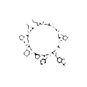 CCC[C@H]1C(=O)N[C@@H]([C@@H](C)CC)C(=O)N(C)CC(=O)N(C)CC(=O)N(C)[C@@H](CC2CCCC2)C(=O)N(C)CC(=O)N[C@@H](CCc2ccc(C(F)(F)F)c(Cl)c2)C(=O)N(C)[C@@H](Cc2cccnc2)C(=O)NC2(CCCC2)C(=O)N(C)[C@@H](C2CCCCC2)C(=O)N(C)[C@H](C(=O)N2CCCC2)CC(=O)N1C